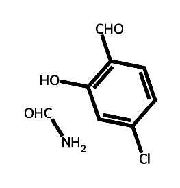 NC=O.O=Cc1ccc(Cl)cc1O